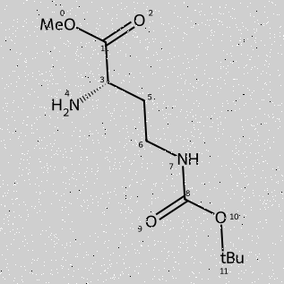 COC(=O)[C@@H](N)CCNC(=O)OC(C)(C)C